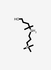 CC(C)(CCCO)[SiH2]CCC[Si](C)(C)C